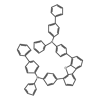 c1ccc(-c2ccc(N(c3ccccc3)c3ccc(-c4cccc5c4oc4c(-c6ccc(N(c7ccccc7)c7ccc(-c8ccccc8)cc7)cc6)cccc45)cc3)cc2)cc1